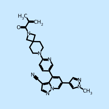 C=C(C)C(=O)N1CC2(CCN(c3ccc(-c4cc(-c5cnn(C)c5)cn5ncc(C#N)c45)cn3)CC2)C1